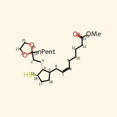 CCCCCC1(CC[C@@H]2C(C/C=C\CCCCC(=O)OC)CC[C@H]2S)OCCO1